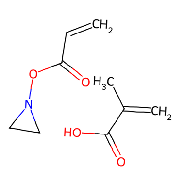 C=C(C)C(=O)O.C=CC(=O)ON1CC1